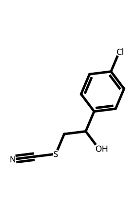 N#CSCC(O)c1ccc(Cl)cc1